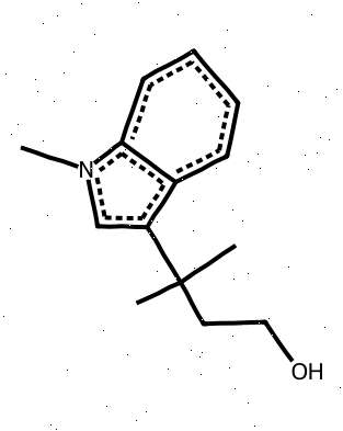 Cn1cc(C(C)(C)CCO)c2ccccc21